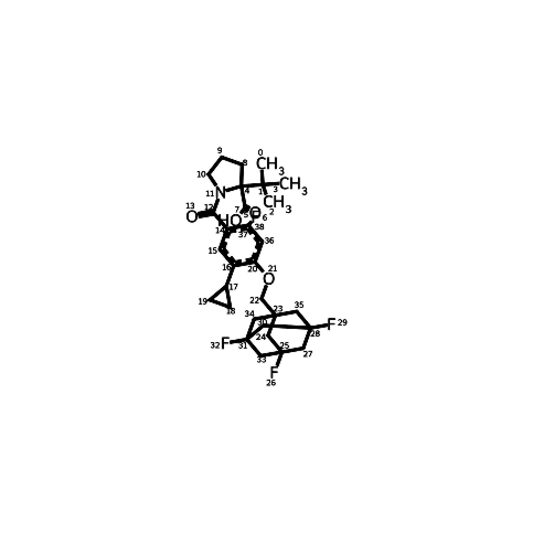 CC(C)(C)C1(C(=O)O)CCCN1C(=O)c1cc(C2CC2)c(OCC23CC4(F)CC(F)(CC(F)(C4)C2)C3)cc1F